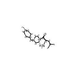 CC(C)C[C@@H](N)C(=O)N1CCN(CC2CCN(C)CC2)CC1